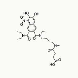 CCN(CC)C(=O)c1cc2c([N+](=O)[O-])c(O)c(O)cc2cc1C(=O)N(CC)CCCCN(C)C(=O)CCC(=O)O